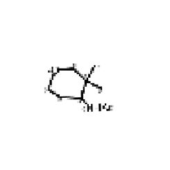 CC(=O)NC1CCOCC1(C)C